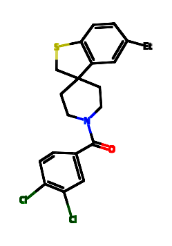 CCc1ccc2c(c1)C1(CCN(C(=O)c3ccc(Cl)c(Cl)c3)CC1)CS2